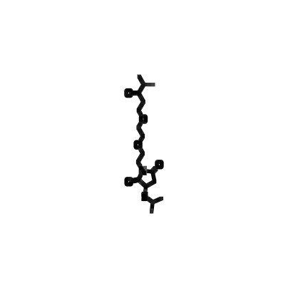 CC(C)SC1CC(=O)N(CCOCCOCCC(=O)C(C)C)C1=O